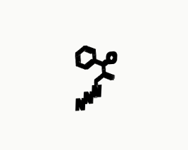 C=C(CN=[N+]=[N-])C(=O)c1ccccc1